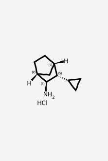 Cl.N[C@H]1[C@@H]2CC[C@@H](C2)[C@@H]1C1CC1